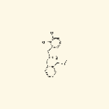 COC(=O)c1ncccc1CNCc1cccc(Cl)c1Cl